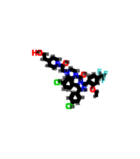 CCOc1cc(C(F)(F)F)ccc1C1=NC(c2ccc(Cl)cc2)C(c2ccc(Cl)cc2)N1C(=O)N1CCN(CC(=O)N2CCC(CCO)CC2)CC1